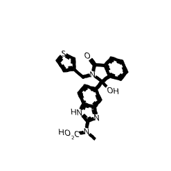 CN(C(=O)O)c1nc2cc(C3(O)c4ccccc4C(=O)N3Cc3ccsc3)ccc2[nH]1